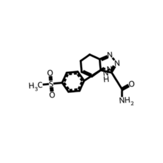 CS(=O)(=O)c1ccc(C2NN(C(N)=O)C3=NN=C4CCC=CC432)cc1